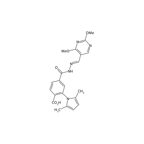 COc1ncc(/C=N/NC(=O)c2ccc(C(=O)O)c(-n3c(C)ccc3C)c2)c(OC)n1